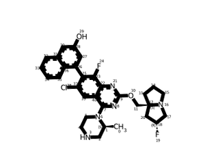 C[C@H]1CNCCN1c1nc(OC[C@@]23CCCN2C[C@H](F)C3)nc2c(F)c(-c3cc(O)cc4ccccc34)c(Cl)cc12